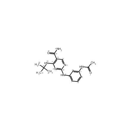 CC(=O)Nc1cccc(Nc2ncc(C(N)=O)c(NC(C)(C)C)n2)c1